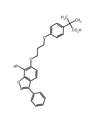 CCCc1c(OCCCOc2ccc(C(C)(C)C(=O)O)cc2)ccc2c(-c3ccccc3)noc12